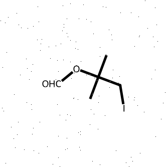 CC(C)(CI)OC=O